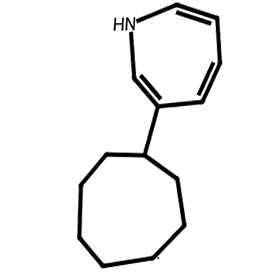 [CH]1CCCCC(C2=CNC=CC=C2)CC1